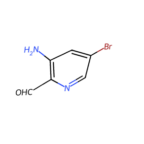 Nc1cc(Br)cnc1C=O